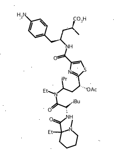 CC[C@H](C)[C@H](NC(=O)C1(CC)CCCCN1C)C(=O)N(CC)C(C[C@@H](OC(C)=O)c1nc(C(=O)N[C@@H](Cc2ccc(N)cc2)C[C@H](C)C(=O)O)cs1)C(C)C